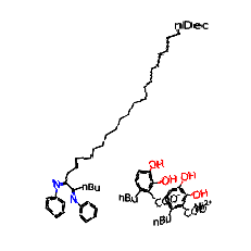 CCCCCCCCCCCCCCCCCCCCCCCCCCCCCCC(=Nc1ccccc1)C(CCCC)=Nc1ccccc1.CCCCc1ccc(O)c(O)c1C(=O)[O-].CCCCc1ccc(O)c(O)c1C(=O)[O-].[Ni+2]